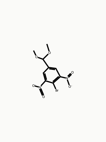 COC(OC)c1cc([N+](=O)[O-])c(Br)c([N+](=O)[O-])c1